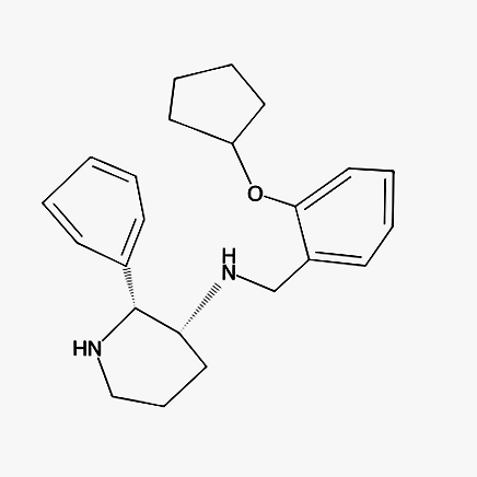 c1ccc([C@H]2NCCC[C@H]2NCc2ccccc2OC2CCCC2)cc1